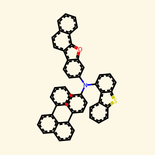 c1ccc(-c2cccc3cccc(-c4ccc(N(c5ccc6c(c5)oc5c7ccccc7ccc65)c5cccc6sc7ccccc7c56)cc4)c23)cc1